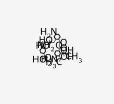 CCc1c(N)ccc(C(=O)OC(=O)c2ccc(N)cc2CC(O)CO)c1C(O)(O)CC.Nc1ccc(C(=O)O)cc1